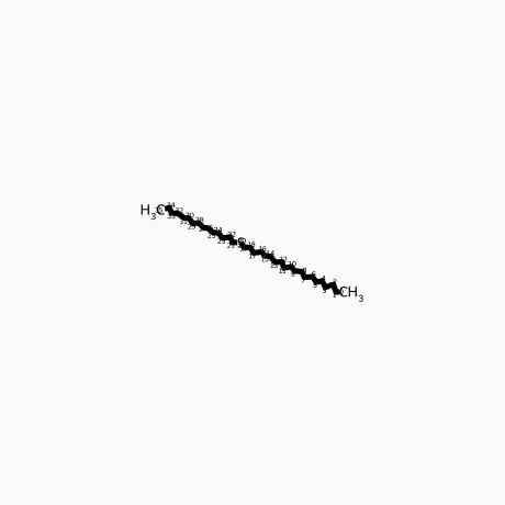 CCCCCCCCCCCCCCCCCCCCSCCCCCCCCCCCCCCC